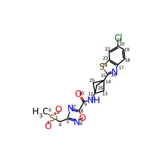 CS(=O)(=O)Cc1noc(C(=O)NC23CC(c4nc5ccc(Cl)cc5s4)(C2)C3)n1